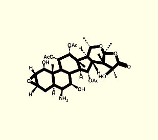 CC(=O)O[C@H]1[C@@H]2[C@H]([C@H](C)O[C@@]3(C)OC(=O)[C@@](C)(O)[C@]23C)[C@]2(C)[C@@H]1C1C([C@H](OC(C)=O)[C@@H]2OC(C)=O)[C@]2(C)[C@H](C[C@@H]3O[C@@H]3[C@@H]2O)[C@H](N)[C@@H]1O